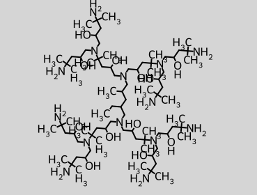 CCC(CC(C)CN(CC(O)CC(C)(C)N(CC(O)CC(C)(C)N)CC(O)CC(C)(C)N)CC(O)CC(C)(C)N(CC(O)CC(C)(C)N)CC(O)CC(C)(C)N)CN(CC(O)CC(C)(C)N(CC(O)CC(C)(C)N)CC(O)CC(C)(C)N)CC(O)CC(C)(C)N(CC(O)CC(C)(C)N)CC(O)CC(C)(C)N